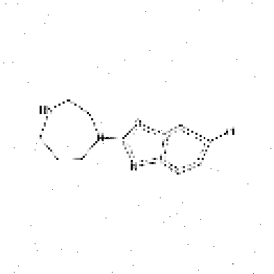 Clc1ccc2nc(N3CCCNCC3)oc2c1